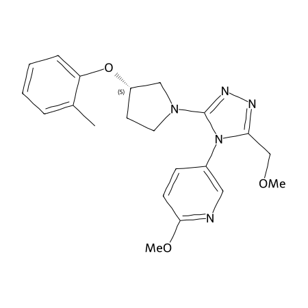 COCc1nnc(N2CC[C@H](Oc3ccccc3C)C2)n1-c1ccc(OC)nc1